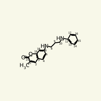 Cc1cc2ccc(NCCCNc3ccccc3)cc2oc1=O